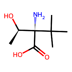 C[C@@H](O)[C@](N)(C(=O)O)C(C)(C)C